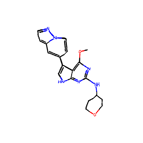 COc1nc(NC2CCOCC2)nc2[nH]cc(-c3ccn4nccc4c3)c12